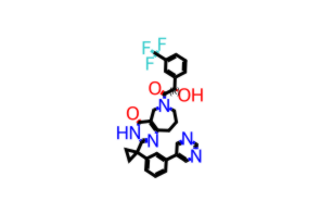 O=C([C@H](O)c1cccc(C(F)(F)F)c1)N1CCCc2nc(C3(c4cccc(-c5cncnc5)c4)CC3)[nH]c(=O)c2C1